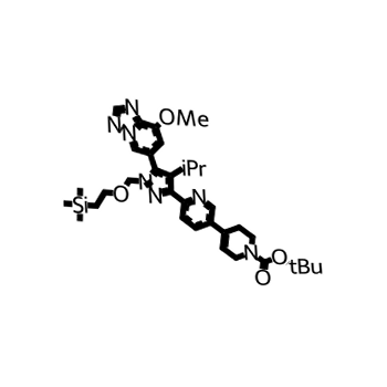 COc1cc(-c2c(C(C)C)c(-c3ccc(C4=CCN(C(=O)OC(C)(C)C)CC4)cn3)nn2COCC[Si](C)(C)C)cn2ncnc12